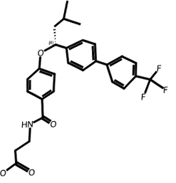 CC(C)C[C@@H](Oc1ccc(C(=O)NCCC(=O)O)cc1)c1ccc(-c2ccc(C(F)(F)F)cc2)cc1